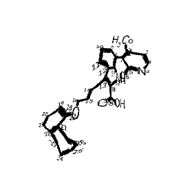 Cc1ccnc(Cl)c1-c1cccc2c(CCCOc3cccc4ccccc34)c(C(=O)O)[nH]c12